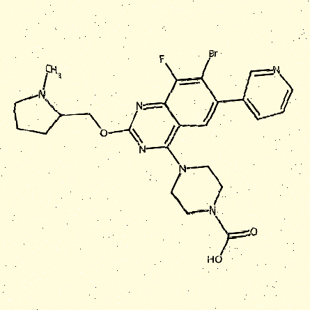 CN1CCCC1COc1nc(N2CCN(C(=O)O)CC2)c2cc(-c3cccnc3)c(Br)c(F)c2n1